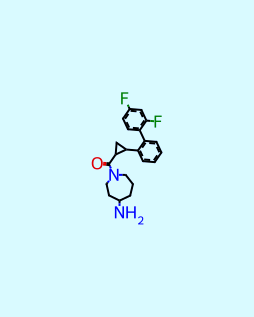 NC1CCCN(C(=O)C2CC2c2ccccc2-c2ccc(F)cc2F)CC1